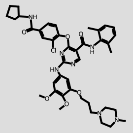 COc1cc(Nc2ncc(C(=O)Nc3c(C)cccc3C)c(Oc3ccc(C(=O)NC4CCCC4)cc3Cl)n2)cc(OCCCN2CCN(C)CC2)c1OC